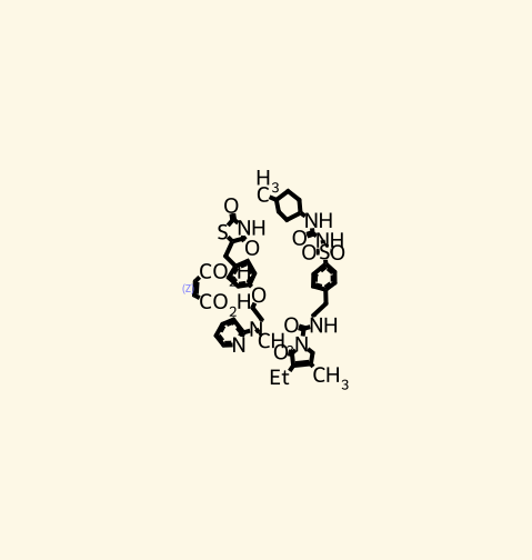 CCC1=C(C)CN(C(=O)NCCc2ccc(S(=O)(=O)NC(=O)NC3CCC(C)CC3)cc2)C1=O.CN(CCOc1ccc(CC2SC(=O)NC2=O)cc1)c1ccccn1.O=C(O)/C=C\C(=O)O